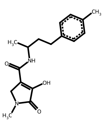 Cc1ccc(CCC(C)NC(=O)C2=C(O)C(=O)N(C)C2)cc1